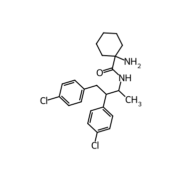 CC(NC(=O)C1(N)CCCCC1)C(Cc1ccc(Cl)cc1)c1ccc(Cl)cc1